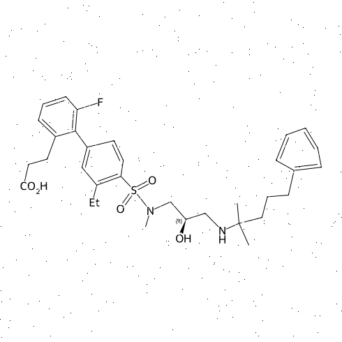 CCc1cc(-c2c(F)cccc2CCC(=O)O)ccc1S(=O)(=O)N(C)C[C@H](O)CNC(C)(C)CCCc1ccccc1